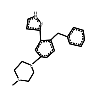 CN1CCN(c2ccc(Cc3ccccc3)c(-c3cc[nH]n3)c2)CC1